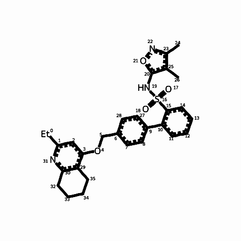 CCc1cc(OCc2ccc(-c3ccccc3S(=O)(=O)Nc3onc(C)c3C)cc2)c2c(n1)CCCC2